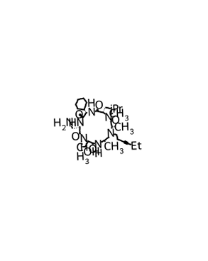 CCC#CCCN1C[C@@H](C)NC(=O)[C@H]([C@H](C)O)NC(=O)[C@H](CN)NC(=O)[C@H](C2CCCCC2)NC(=O)[C@H](CC(C)C)N(C)C(=O)[C@@H]1C